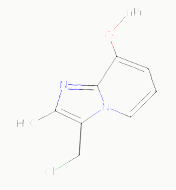 CCCOc1cccn2c(CCl)c(C)nc12